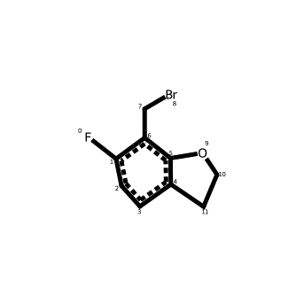 Fc1ccc2c(c1CBr)OCC2